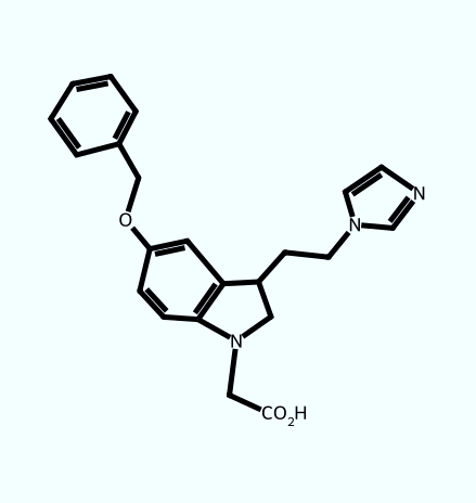 O=C(O)CN1CC(CCn2ccnc2)c2cc(OCc3ccccc3)ccc21